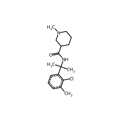 Cc1cccc(C(C)(C)NC(=O)C2CCCN(C)C2)c1Cl